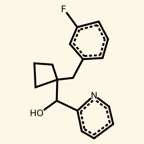 OC(c1ccccn1)C1(Cc2cccc(F)c2)CCC1